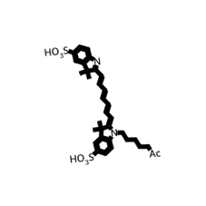 CC(=O)CCCCCN1/C(=C/C=C/C=C/C=C/C2=Nc3ccc(S(=O)(=O)O)cc3C2(C)C)C(C)(C)c2cc(S(=O)(=O)O)ccc21